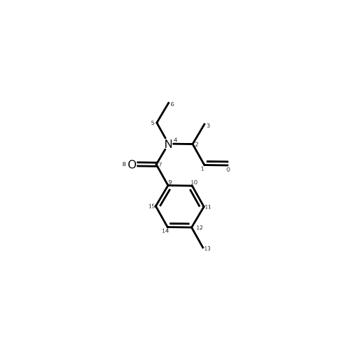 C=CC(C)N(CC)C(=O)c1ccc(C)cc1